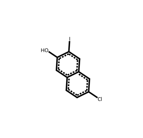 Oc1cc2ccc(Cl)cc2cc1I